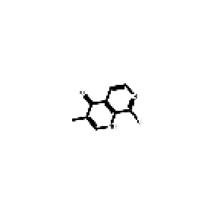 Cc1c[nH]c2c(Cl)nccc2c1=O